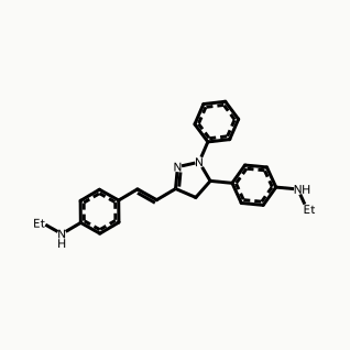 CCNc1ccc(C=CC2=NN(c3ccccc3)C(c3ccc(NCC)cc3)C2)cc1